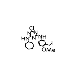 COc1ccc(Nc2nc(Cl)nc(NC3CCCCCC3)n2)cc1CI